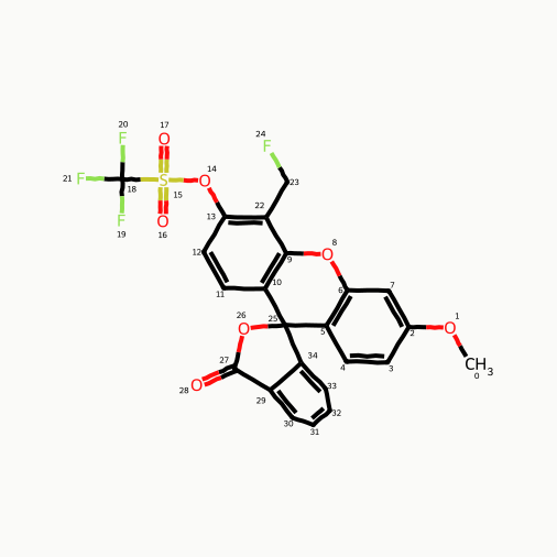 COc1ccc2c(c1)Oc1c(ccc(OS(=O)(=O)C(F)(F)F)c1CF)C21OC(=O)c2ccccc21